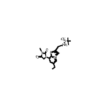 CCc1cc(N2CC(=O)N(C)C2=O)c2nc(CN[S@+]([O-])C(C)(C)C)cn2c1